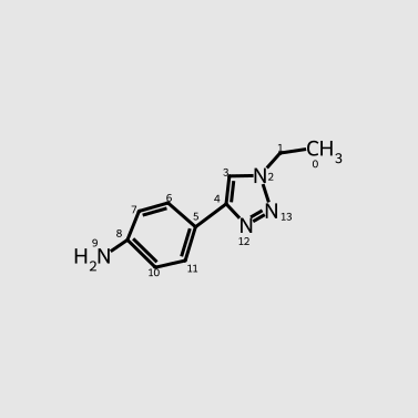 CCn1cc(-c2ccc(N)cc2)nn1